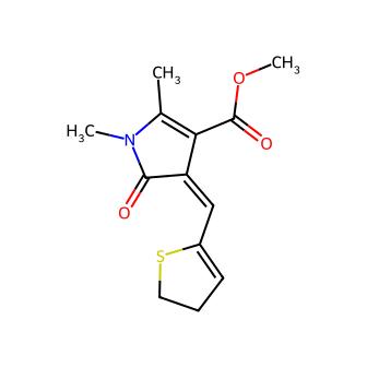 COC(=O)C1=C(C)N(C)C(=O)/C1=C\C1=CCCS1